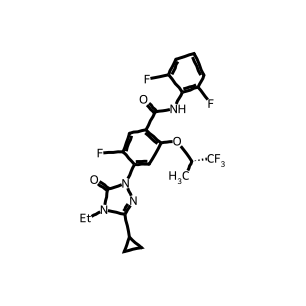 CCn1c(C2CC2)nn(-c2cc(O[C@@H](C)C(F)(F)F)c(C(=O)Nc3c(F)cccc3F)cc2F)c1=O